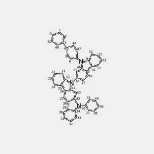 c1ccc(-c2ccc(-n3c4ccccc4c4ccc(-n5c6ccccc6c6cc7c8ccccc8n(-c8ccccc8)c7cc65)cc43)cc2)cc1